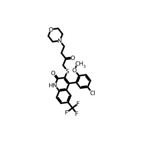 COc1ccc(Cl)cc1-c1c(SCC(=O)CCN2CCOCC2)c(=O)[nH]c2ccc(C(F)(F)F)cc12